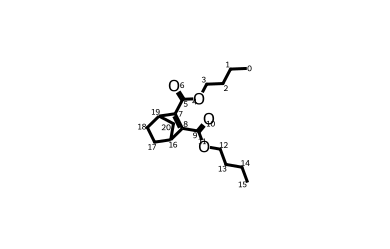 CCCCOC(=O)C1=C(C(=O)OCCCC)C2CCC1C2